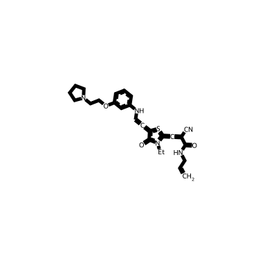 C=CCNC(=O)C(=C=c1sc(=C=CNc2cccc(OCCN3CCCC3)c2)c(=O)n1CC)C#N